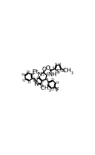 CCN1C(=O)[C@H](NC(=O)c2ccc(C)s2)[C@@H](c2ccc(F)cc2)c2c(C)nn(-c3ccccc3)c21